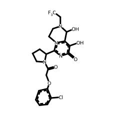 O=C(COc1ccccc1Cl)N1CCCC1c1nc(=O)c(O)c2n1CCN(CC(F)(F)F)C2O